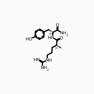 C[C@@H](CCCNC(=N)N)C(=O)N[C@@H](Cc1ccc(O)cc1)C(N)=O